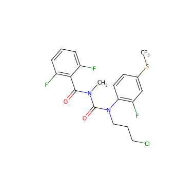 CN(C(=O)c1c(F)cccc1F)C(=O)N(CCCCl)c1ccc(SC(F)(F)F)cc1F